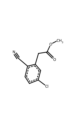 COC(=O)Cc1cc(Cl)ccc1C#N